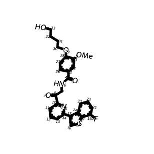 COc1cc(C(=O)NCC(=O)c2cccc(-c3csc4c(F)cccc34)n2)ccc1OCCCCO